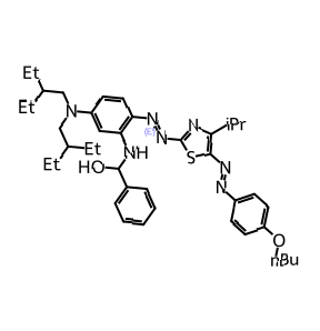 CCCCOc1ccc(N=Nc2sc(/N=N/c3ccc(N(CC(CC)CC)CC(CC)CC)cc3NC(O)c3ccccc3)nc2C(C)C)cc1